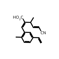 C=Cc1ccc(C)c(C=C(C(=O)O)C(C)C=CC#N)c1